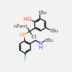 CCCCCC(CC)(Pc1ccc(F)cc1CNC(C)(C)C)c1cc(C(C)(C)C)cc(C(C)(C)C)c1O